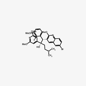 COc1cc([C@](O)(CCN(C)C)[C@@H](c2cc3cc(Br)ccc3nc2OC)c2cccc(OC)c2F)cc(OC)n1